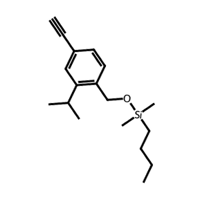 C#Cc1ccc(CO[Si](C)(C)CCCC)c(C(C)C)c1